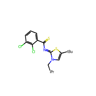 CC(C)Cn1cc(C(C)(C)C)sc1=NC(=S)c1cccc(Cl)c1Cl